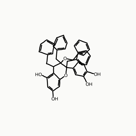 Oc1cc(O)c2c(c1)OC(Cc1ccccc1)(c1ccc(O)c(O)c1)C(Cc1ccccc1)(OCc1ccccc1)C2Cc1ccccc1